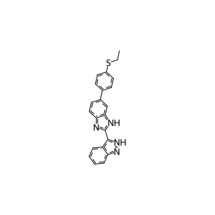 CCSc1ccc(-c2ccc3nc(-c4[nH]nc5ccccc45)[nH]c3c2)cc1